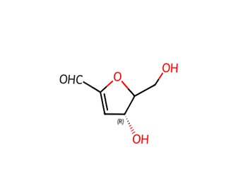 O=CC1=C[C@@H](O)C(CO)O1